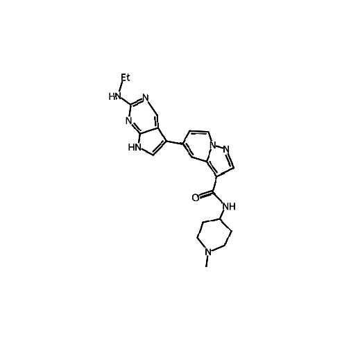 CCNc1ncc2c(-c3ccn4ncc(C(=O)NC5CCN(C)CC5)c4c3)c[nH]c2n1